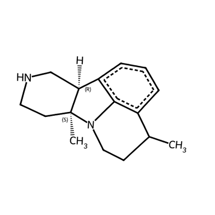 CC1CCN2c3c1cccc3[C@@H]1CNCC[C@@]12C